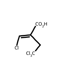 O=C(O)C(=CCl)CC(Cl)(Cl)Cl